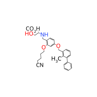 Cc1c(COc2ccc(CN[C@H](CO)C(=O)O)c(OCCCCC#N)c2)cccc1-c1ccccc1